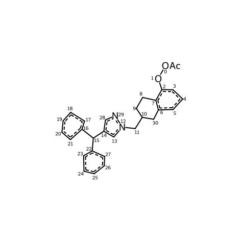 CC(=O)OOc1cccc2c1CCC(Cn1cc(C(c3ccccc3)c3ccccc3)cn1)C2